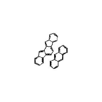 C1=c2c(ccc3c2=Cc2ccccc2-3)-c2ccccc21.c1ccc2cc3ccccc3cc2c1